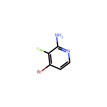 Nc1nccc(Br)c1F